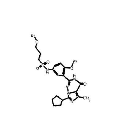 CCOCCCS(=O)(=O)Nc1ccc(OCC)c(-c2nn3c(C4CCCC4)nc(C)c3c(=O)[nH]2)c1